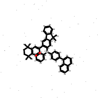 CC1(C)CCC(C)(C)c2cc(-c3cc4c(cc3N(c3ccccc3)c3ccc(-c5cccc6ccccc56)cc3)C(C)(C)c3ccccc3-4)ccc21